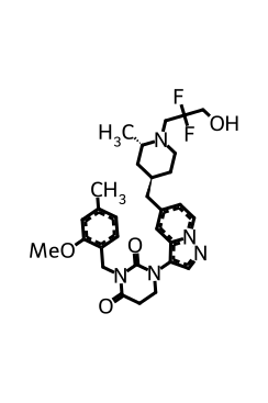 COc1cc(C)ccc1CN1C(=O)CCN(c2cnn3ccc(C[C@@H]4CCN(CC(F)(F)CO)[C@@H](C)C4)cc23)C1=O